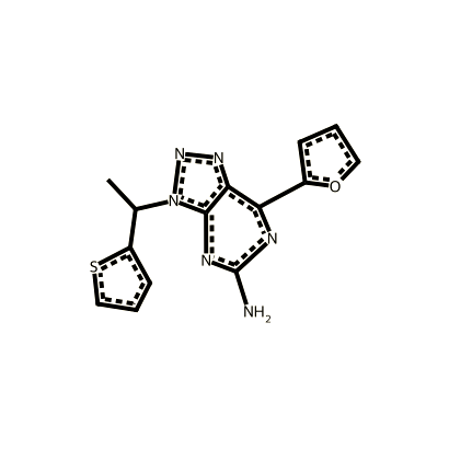 CC(c1cccs1)n1nnc2c(-c3ccco3)nc(N)nc21